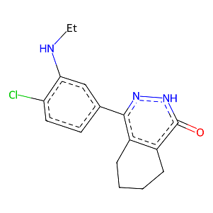 CCNc1cc(-c2n[nH]c(=O)c3c2CCCC3)ccc1Cl